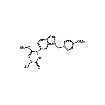 COc1ccc(Cn2ncc3ccc(N(NC(=O)OC(C)(C)C)C(=O)OC(C)(C)C)cc32)cc1